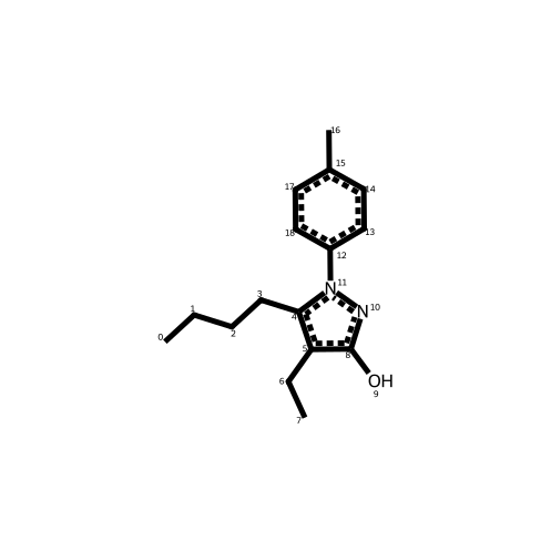 CCCCc1c(CC)c(O)nn1-c1ccc(C)cc1